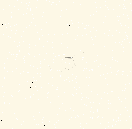 COc1ncc(CN(C)C)cc1[N+](=O)[O-]